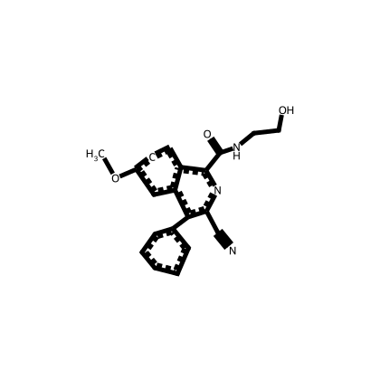 COc1ccc2c(C(=O)NCCO)nc(C#N)c(-c3ccccc3)c2c1